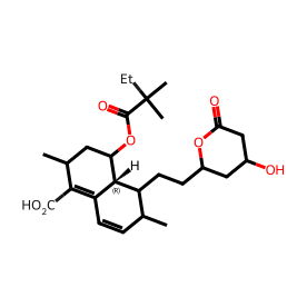 CCC(C)(C)C(=O)OC1CC(C)C(C(=O)O)=C2C=CC(C)C(CCC3CC(O)CC(=O)O3)[C@H]21